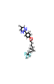 Cc1cnc(-c2ccc(OCCCC[Si](C)(C)CCC(F)(F)F)cc2)nc1